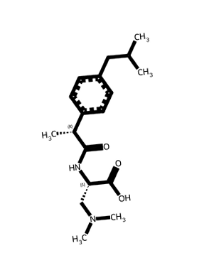 CC(C)Cc1ccc([C@@H](C)C(=O)N[C@@H](CN(C)C)C(=O)O)cc1